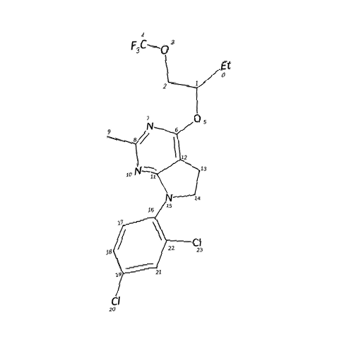 CCC(COC(F)(F)F)Oc1nc(C)nc2c1CCN2c1ccc(Cl)cc1Cl